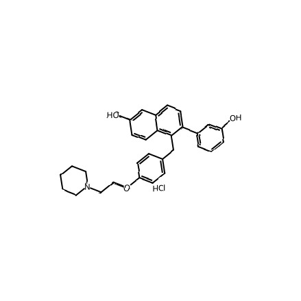 Cl.Oc1cccc(-c2ccc3cc(O)ccc3c2Cc2ccc(OCCN3CCCCC3)cc2)c1